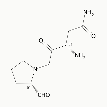 NC(=O)C[C@H](N)C(=O)CN1CCC[C@H]1C=O